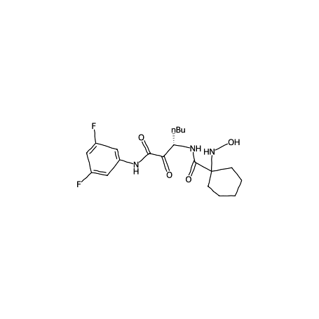 CCCC[C@H](NC(=O)C1(NO)CCCCC1)C(=O)C(=O)Nc1cc(F)cc(F)c1